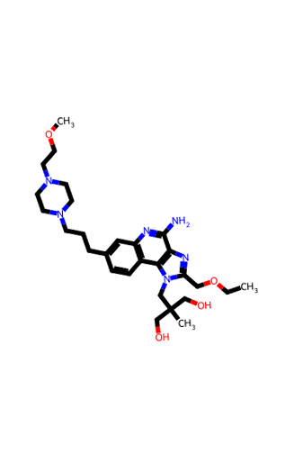 CCOCc1nc2c(N)nc3cc(CCCN4CCN(CCOC)CC4)ccc3c2n1CC(C)(CO)CO